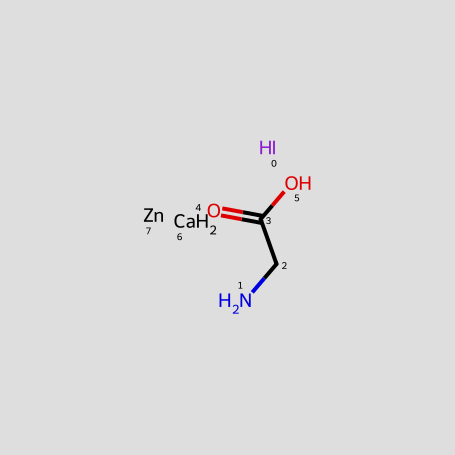 I.NCC(=O)O.[CaH2].[Zn]